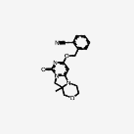 CC12COCCN1c1cc(OCc3ccccc3C#N)nc(=O)n1C2